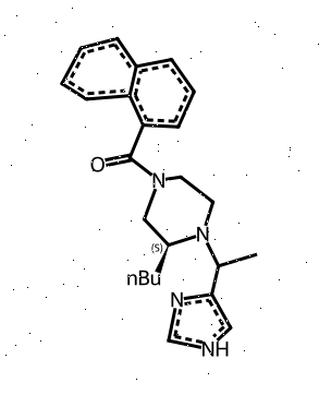 CCCC[C@H]1CN(C(=O)c2cccc3ccccc23)CCN1C(C)c1c[nH]cn1